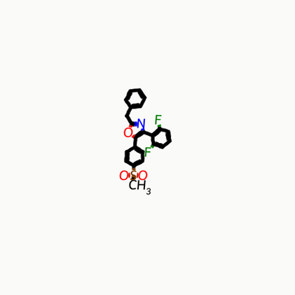 CS(=O)(=O)c1ccc(-c2oc(Cc3ccccc3)nc2-c2c(F)cccc2F)cc1